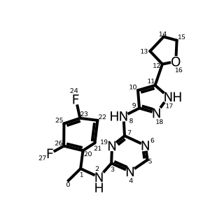 CC(Nc1ncnc(Nc2cc(C3CCCO3)[nH]n2)n1)c1ccc(F)cc1F